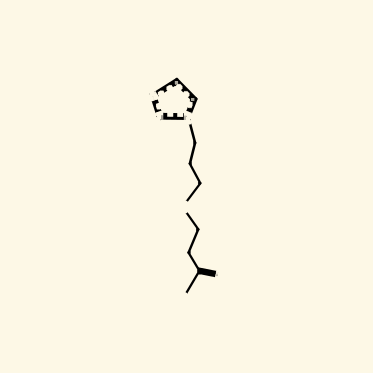 CC(=O)CCOCCCn1ccnn1